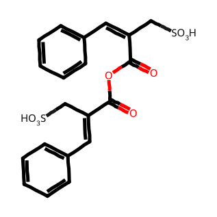 O=C(OC(=O)C(=Cc1ccccc1)CS(=O)(=O)O)C(=Cc1ccccc1)CS(=O)(=O)O